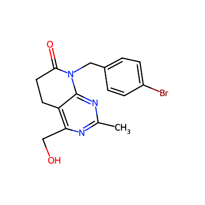 Cc1nc(CO)c2c(n1)N(Cc1ccc(Br)cc1)C(=O)CC2